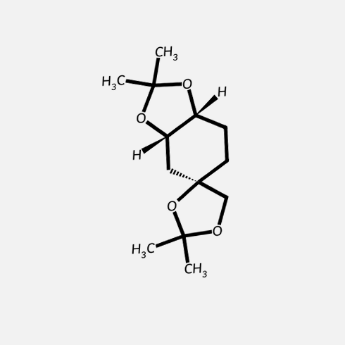 CC1(C)O[C@H]2C[C@]3(CC[C@H]2O1)COC(C)(C)O3